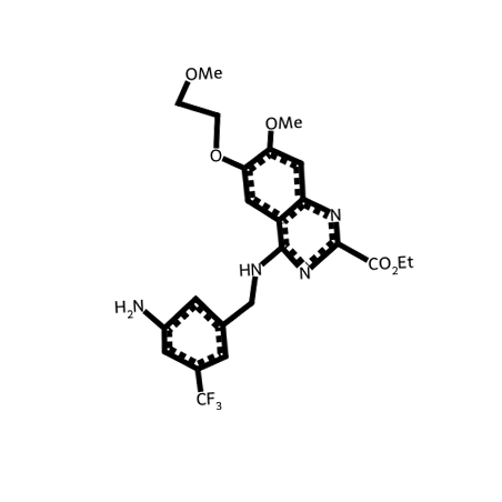 CCOC(=O)c1nc(NCc2cc(N)cc(C(F)(F)F)c2)c2cc(OCCOC)c(OC)cc2n1